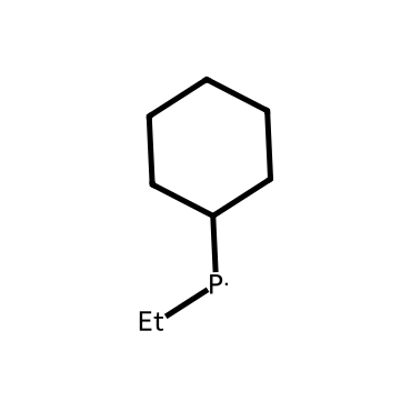 CC[P]C1CCCCC1